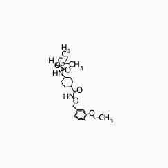 CCOc1cccc(CONC(=O)C2CCC(NS(=O)(=O)C(C)(C)CC)CC2)c1